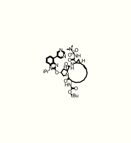 CC(C)n1c(O[C@@H]2C[C@H]3C(=O)N[C@]4(C(=O)NS(=O)(=O)N(C)C)C[C@H]4/C=C\CCCCC[C@H](NC(=O)OC(C)(C)C)C(=O)N3C2)nc2c(-c3cncnc3)cccc21